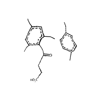 Cc1cc(C)c(C(=O)CCC(=O)O)c(C)c1.Cc1ccc(C)cc1